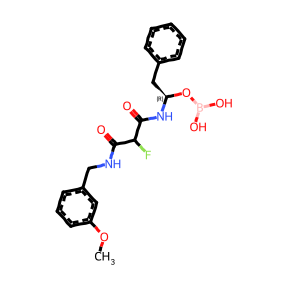 COc1cccc(CNC(=O)C(F)C(=O)N[C@@H](Cc2ccccc2)OB(O)O)c1